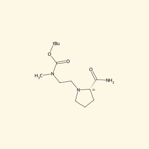 CN(CCN1CCC[C@H]1C(N)=O)C(=O)OC(C)(C)C